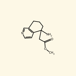 COC(=O)CC1(N)CCCc2cnccc21